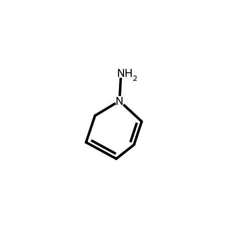 NN1C=CC=CC1